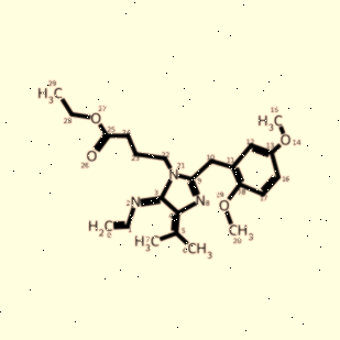 C=C/N=C1\C(=C(C)C)N=C(Cc2cc(OC)ccc2OC)N1CCCC(=O)OCC